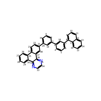 c1cc(-c2cccc(-c3cccc4ccccc34)c2)cc(-c2ccc3c4ccccc4c4nccnc4c3c2)c1